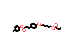 C=CC(=O)OCCCCCCOc1ccc(/C=C/C(=O)Oc2ccc(C)cc2)cc1